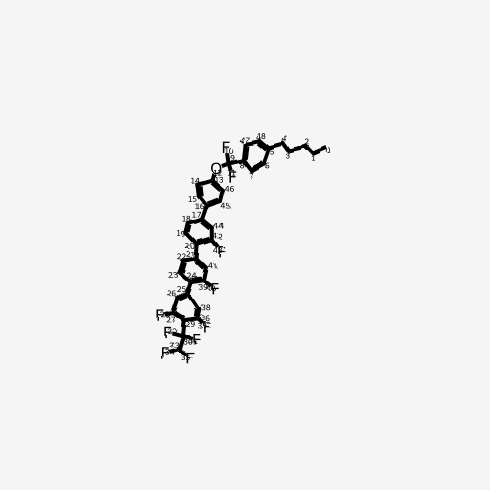 CCCCCc1ccc(C(F)(F)Oc2ccc(-c3ccc(-c4ccc(-c5cc(F)c(C(F)(F)C(F)F)c(F)c5)c(F)c4)c(F)c3)cc2)cc1